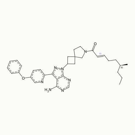 CCC[C@H](C)CC/C=C/C(=O)N1CCC2(CC(n3nc(-c4ccc(Oc5ccccc5)cn4)c4c(N)ncnc43)C2)C1